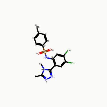 Cc1nnc(-c2cc(Cl)c(F)cc2NS(=O)(=O)c2ccc(C(C)(C)C)cc2)n1C